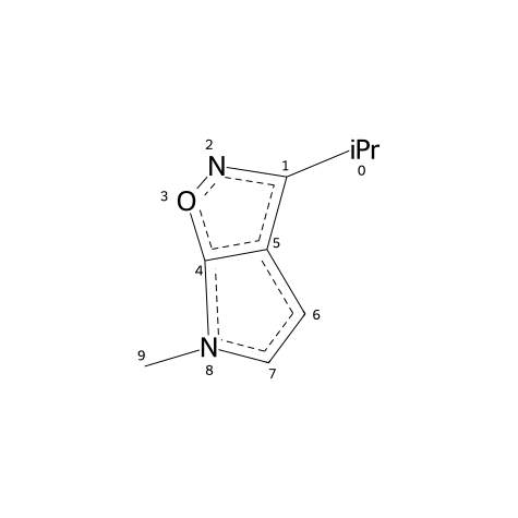 CC(C)c1noc2c1ccn2C